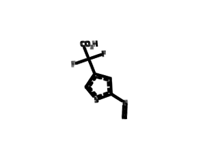 C=Nc1cc(C(F)(F)C(=O)O)cs1